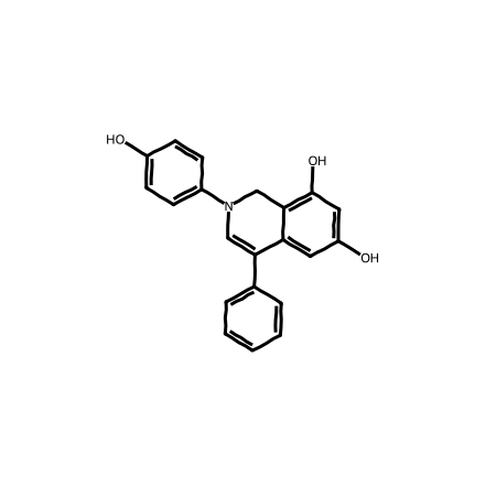 Oc1ccc(N2C=C(c3ccccc3)c3cc(O)cc(O)c3C2)cc1